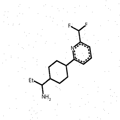 CCC(N)C1CCC(c2cccc(C(F)F)n2)CC1